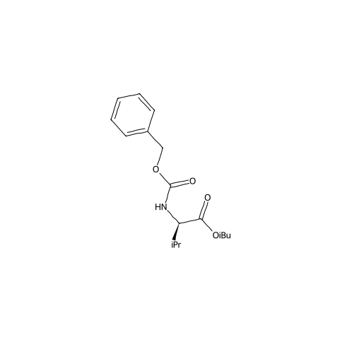 CC(C)COC(=O)[C@H](NC(=O)OCc1ccccc1)C(C)C